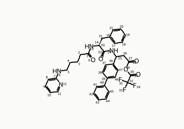 O=C(CCCCNc1ccccn1)N[C@@H](Cc1ccccc1)C(=O)NC(CC(=O)OC(=O)C(F)(F)F)c1ccc(-c2ccccc2)cc1